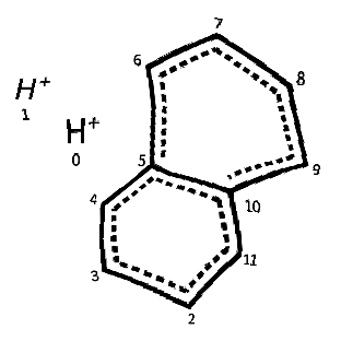 [H+].[H+].c1ccc2ccccc2c1